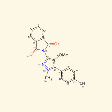 COc1c(N2C(=O)c3ccccc3C2=O)nn(C)c1-c1ccc(C#N)cc1